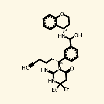 C#CCCC[C@H](c1cccc(C(O)N[C@H]2CCOc3ccccc32)c1)N1C(=N)NC(CC)(CC)CC1=O